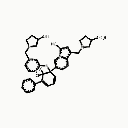 CC1(Cl)C(c2ccccc2)=CC=CC1(Sc1cc(CN2CCC(O)C2)ccn1)c1ccc2c(CN3CCC(C(=O)O)C3)cc(C#N)n2c1